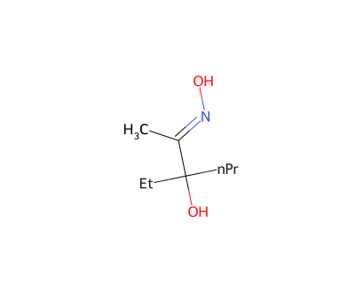 CCCC(O)(CC)C(C)=NO